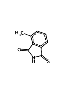 Cc1cccc2c1C(=O)NC2=S